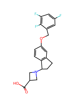 O=C(O)C1CN(C2CCc3cc(OCc4cc(F)cc(F)c4F)ccc32)C1